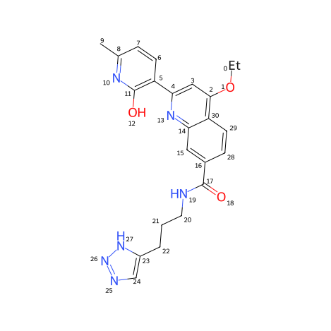 CCOc1cc(-c2ccc(C)nc2O)nc2cc(C(=O)NCCCc3cnn[nH]3)ccc12